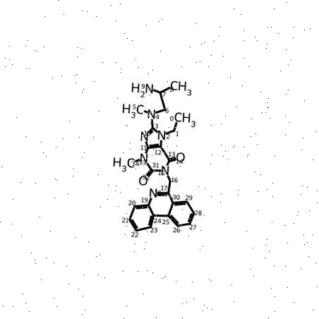 CCn1c(N(C)CC(C)N)nc2c1c(=O)n(Cc1nc3ccccc3c3ccccc13)c(=O)n2C